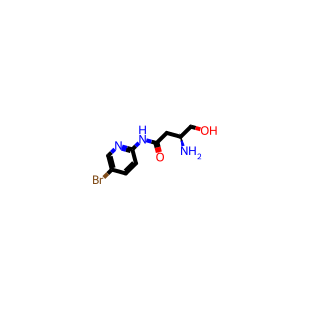 N[C@H](CO)CC(=O)Nc1ccc(Br)cn1